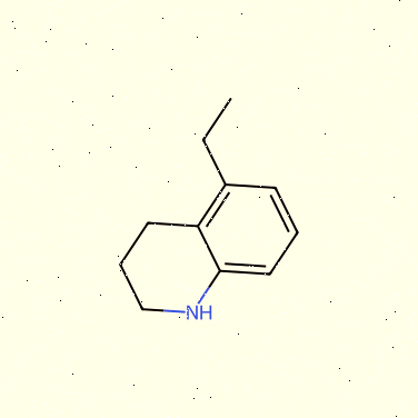 CCc1cccc2c1CCCN2